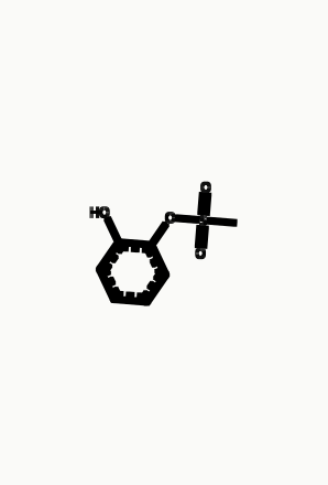 CS(=O)(=O)Oc1ccccc1O